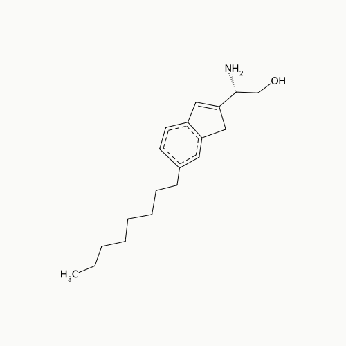 CCCCCCCCc1ccc2c(c1)CC([C@H](N)CO)=C2